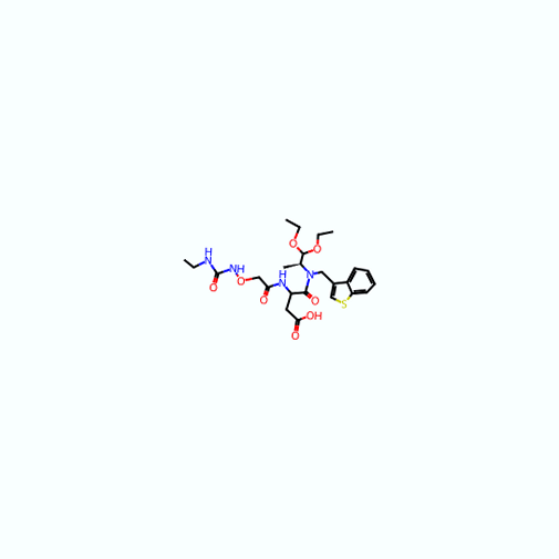 CCNC(=O)NOCC(=O)NC(CC(=O)O)C(=O)N(Cc1csc2ccccc12)[C@@H](C)C(OCC)OCC